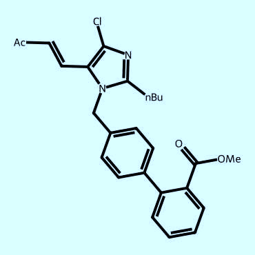 CCCCc1nc(Cl)c(C=CC(C)=O)n1Cc1ccc(-c2ccccc2C(=O)OC)cc1